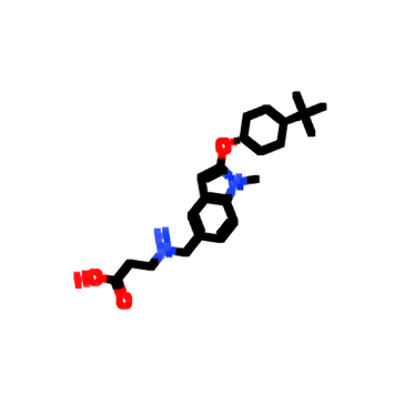 Cn1c(O[C@H]2CC[C@H](C(C)(C)C)CC2)cc2cc(CNCCC(=O)O)ccc21